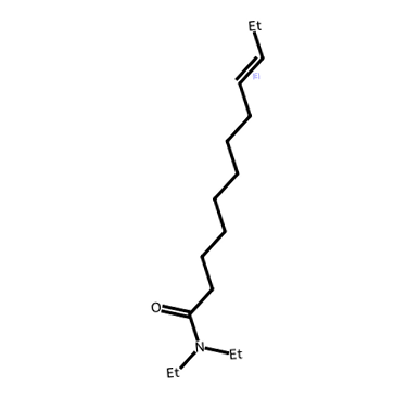 CC/C=C/CCCCCCCC(=O)N(CC)CC